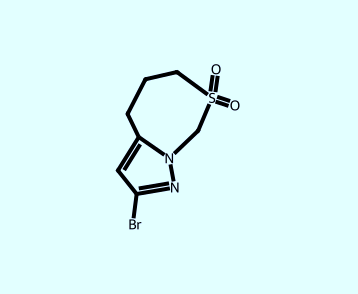 O=S1(=O)CCCc2cc(Br)nn2C1